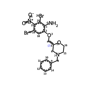 Nc1c(O/C=C2/CN(Cc3ccccc3)CCO2)cc(Br)c([N+](=O)[O-])c1Br